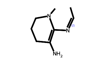 C/C=N\C1=C(N)CCCN1C